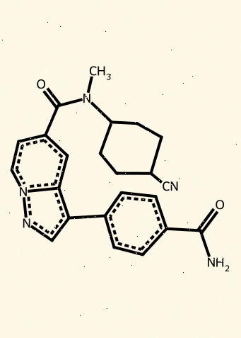 CN(C(=O)c1ccn2ncc(-c3ccc(C(N)=O)cc3)c2c1)C1CCC(C#N)CC1